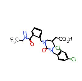 O=C(O)CC1CN(Cc2ccc(Cl)cc2Cl)C(=O)N(Cc2ccccc2C(=O)NCC(F)(F)F)C1